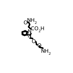 NCCOCCOCCN1CN(C(CCC(N)=O)C(=O)O)c2ccccc21